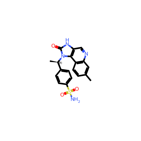 Cc1ccc2c(c1)ncc1[nH]c(=O)n([C@H](C)c3ccc(S(N)(=O)=O)cc3)c12